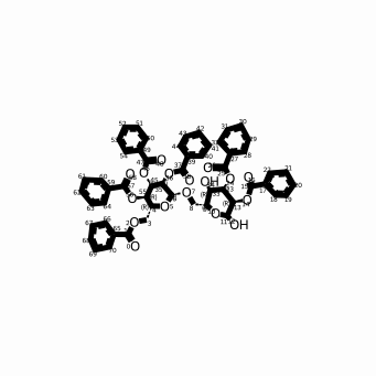 O=C(OC[C@H]1O[C@@H](OC[C@H]2OC(O)[C@H](OC(=O)c3ccccc3)[C@@H](OC(=O)c3ccccc3)[C@@H]2O)[C@H](OC(=O)c2ccccc2)[C@@H](OC(=O)c2ccccc2)[C@@H]1OC(=O)c1ccccc1)c1ccccc1